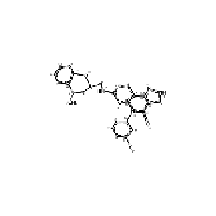 CN1CC(CNc2ncc3c4n[nH]cc4c(=O)n(-c4cccc(Cl)c4)c3n2)Oc2ccccc21